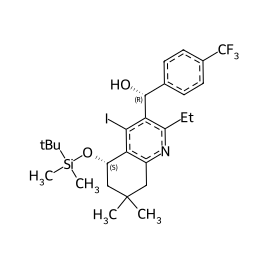 CCc1nc2c(c(I)c1[C@H](O)c1ccc(C(F)(F)F)cc1)[C@@H](O[Si](C)(C)C(C)(C)C)CC(C)(C)C2